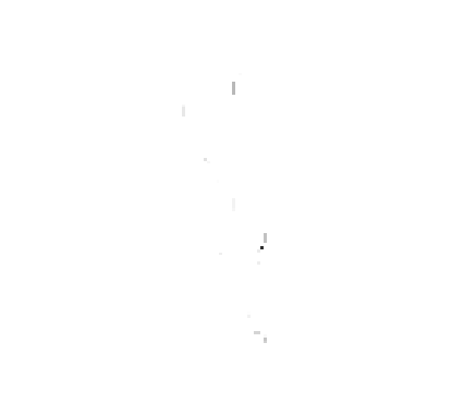 CCN1CCC[C@@H](Nc2nc3nc(Cl)c(Br)cc3o2)C1